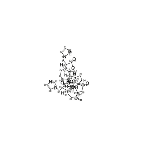 C=C1CC[C@H]2C(Cn3ccnc3)C(=O)O[C@@H]2[C@@H]2[C@H]1C[C@@]1(O)[C@]2(O)CC[C@]12C(=O)C[C@H]1C(=C)CC[C@H]3C(Cn4ccnc4)C(=O)O[C@@H]3[C@H]12